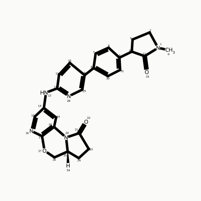 CN1CCC(c2ccc(-c3ccc(Nc4cnc5c(c4)N4C(=O)CC[C@@H]4CO5)nc3)cc2)C1=O